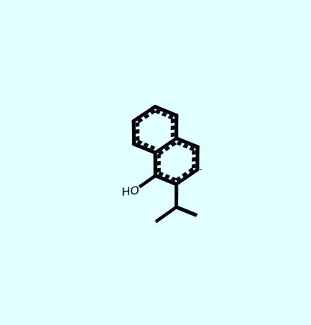 CC(C)c1[c]cc2ccccc2c1O